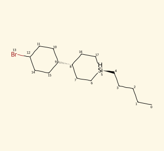 CCCCC[Si@H]1CC[C@H](C2CCC(Br)CC2)CC1